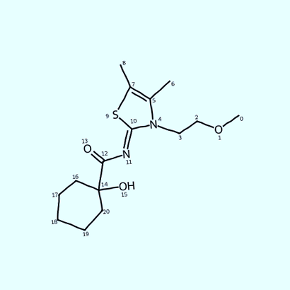 COCCn1c(C)c(C)sc1=NC(=O)C1(O)CCCCC1